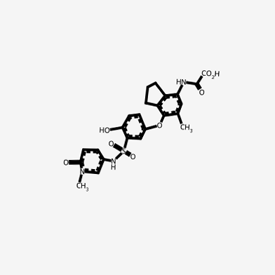 Cc1cc(NC(=O)C(=O)O)c2c(c1Oc1ccc(O)c(S(=O)(=O)Nc3ccc(=O)n(C)c3)c1)CCC2